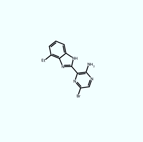 CCc1cccc2[nH]c(-c3nc(Br)cnc3N)nc12